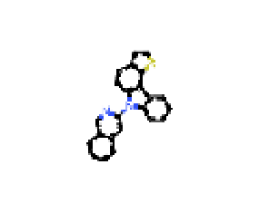 c1ccc2cc(-n3c4ccccc4c4c5sccc5ccc43)ncc2c1